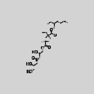 CCCCC(CC)COC(=O)C(C)(CC)CC(C)(C)C(=O)OCC(O)C[S+]([O-])CC(O)CO